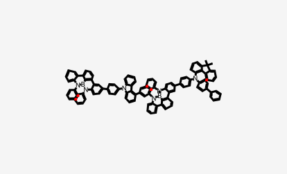 CC1(C)c2ccccc2-c2c(N(c3ccc(-c4ccccc4)cc3)c3ccc(-c4ccc5c(c4)-c4cccc6c4B(N(c4cccc(-c7cccc8c7c7ccccc7n8-c7ccc(-c8ccc9c(c8)-c8cccc%10c8B(N(c8ccccc8)c8ccccc8-%10)N9c8ccccc8)cc7)c4)c4ccccc4-6)N5c4ccccc4)cc3)cccc21